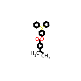 CCC(C)c1ccc(C(=O)Oc2ccc([S+](c3ccccc3)c3ccccc3)cc2)cc1